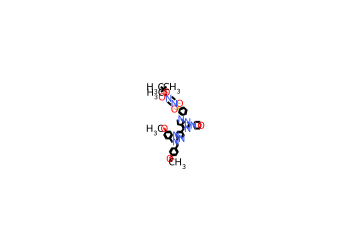 COc1ccc(CN(Cc2ccc(OC)cc2)c2ncc(-c3nc(N4CCOCC4)nc4c3CCN4c3cccc(S(=O)(=O)N4CCN(C(=O)OC(C)(C)C)CC4)c3)cn2)cc1